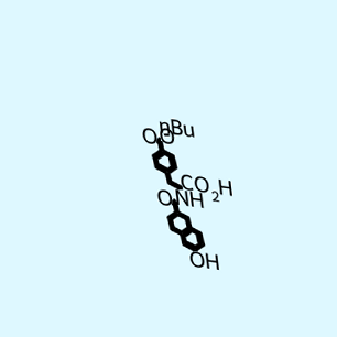 CCCCOC(=O)c1ccc(C[C@H](NC(=O)C2CCc3cc(O)ccc3C2)C(=O)O)cc1